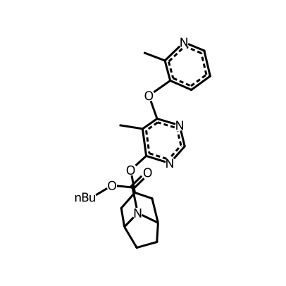 CCCCOC(=O)N1C2CCC1CC(Oc1ncnc(Oc3cccnc3C)c1C)C2